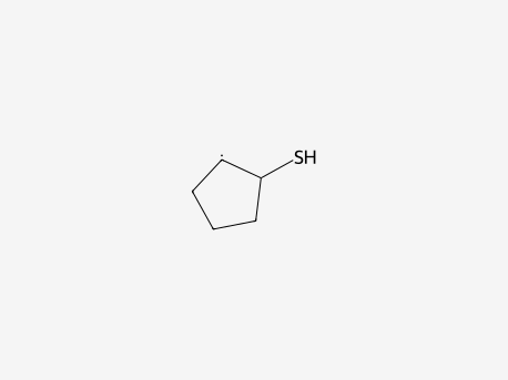 SC1[CH]CCC1